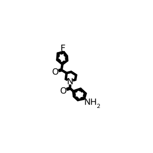 Nc1ccc(C(=O)N2CCCC(C(=O)c3ccc(F)cc3)C2)cc1